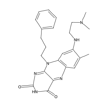 Cc1cc2nc3c(=O)[nH]c(=O)nc-3n(CCCc3ccccc3)c2cc1NCCN(C)C